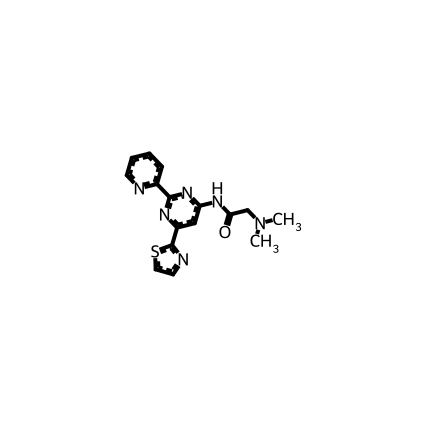 CN(C)CC(=O)Nc1cc(-c2nccs2)nc(-c2ccccn2)n1